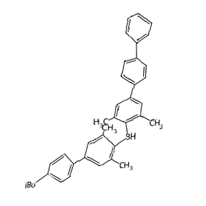 CCC(C)c1ccc(-c2cc(C)c(Bc3c(C)cc(-c4ccc(-c5ccccc5)cc4)cc3C)c(C)c2)cc1